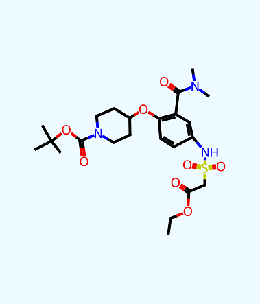 CCOC(=O)CS(=O)(=O)Nc1ccc(OC2CCN(C(=O)OC(C)(C)C)CC2)c(C(=O)N(C)C)c1